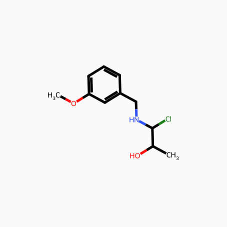 COc1cccc(CNC(Cl)C(C)O)c1